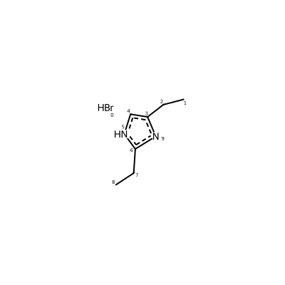 Br.CCc1c[nH]c(CC)n1